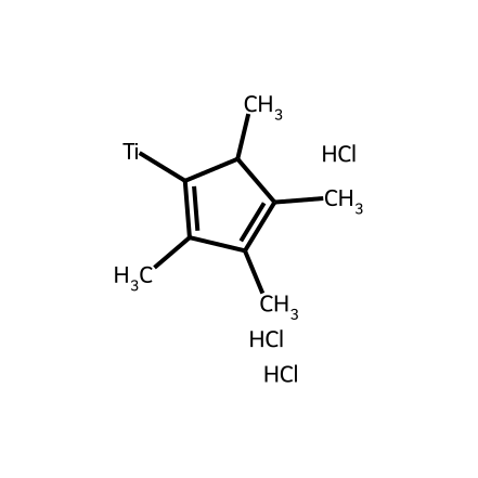 CC1=C(C)C(C)[C]([Ti])=C1C.Cl.Cl.Cl